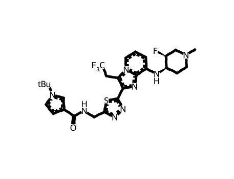 CN1CC[C@@H](Nc2cccn3c(CC(F)(F)F)c(-c4nnc(CNC(=O)c5ccn(C(C)(C)C)c5)s4)nc23)[C@@H](F)C1